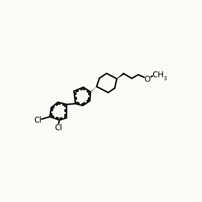 COCCC[C@H]1CC[C@H](c2ccc(-c3ccc(Cl)c(Cl)c3)cc2)CC1